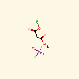 O=C(O)CC(=O)OF.O=P([O-])(F)F.[Li+]